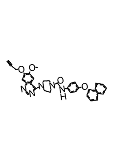 C#CCOc1cc2ncnc(N3CCN(C(=O)Nc4ccc(Oc5cccc6ccccc56)cc4)CC3)c2cc1OC